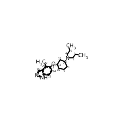 CCCN(CCC)[C@@H]1CCC[C@H](Oc2ccc3[nH]ncc3c2C)C1